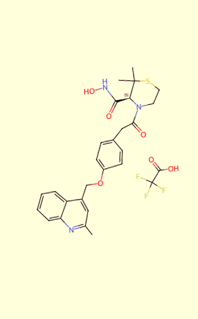 Cc1cc(COc2ccc(CC(=O)N3CCSC(C)(C)[C@@H]3C(=O)NO)cc2)c2ccccc2n1.O=C(O)C(F)(F)F